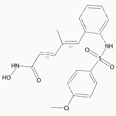 COc1ccc(S(=O)(=O)Nc2ccccc2/C=C(C)/C=C/C(=O)NO)cc1